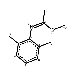 CCSC(C)=Nc1c(C)cccc1C